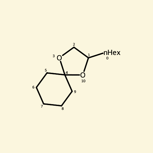 CCCCCCC1COC2(CCCCC2)O1